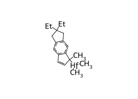 CCC1(CC)Cc2cc3c(cc2C1)[C](C)([Hf]([CH3])[CH3])C=C3